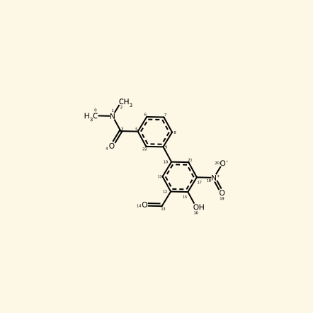 CN(C)C(=O)c1cccc(-c2cc(C=O)c(O)c([N+](=O)[O-])c2)c1